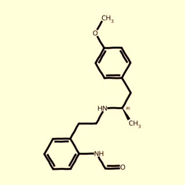 COc1ccc(C[C@@H](C)NCCc2ccccc2NC=O)cc1